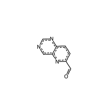 O=Cc1ccc2ncncc2n1